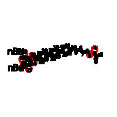 C=C(C)C(=O)OCCCCC[C@H]1CC[C@H](c2ccc(-c3ccc(C4O[C@@H](C(=O)OCCCC)[C@H](C(=O)OCCCC)O4)cc3)cc2)CC1